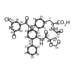 O=C(Nc1ccc(CC(NC(=O)[C@@H]2OCO[C@H]2C(=O)Nc2ccccc2-c2ccccc2)C(=O)O)cc1)c1cc(Cl)nc(Cl)c1